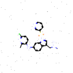 CNCc1cn(S(=O)(=O)c2cccnc2)c2cc(Nc3ccc(Cl)nc3C)ccc12